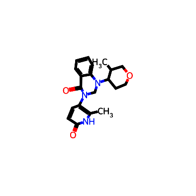 Cc1[nH]c(=O)ccc1N1CN(C2CCOCC2C)c2ccccc2C1=O